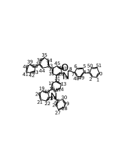 c1ccc(-c2ccc(-c3nc4c(-c5ccc6c(c5)c5ccccc5n6-c5ccccc5)cc(-c5cccc(-c6ccccc6)c5)cc4o3)cc2)cc1